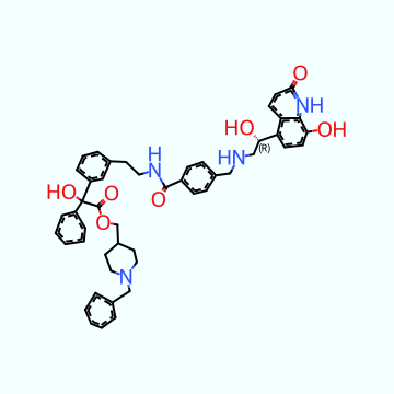 O=C(NCCc1cccc(C(O)(C(=O)OCC2CCN(Cc3ccccc3)CC2)c2ccccc2)c1)c1ccc(CNC[C@H](O)c2ccc(O)c3[nH]c(=O)ccc23)cc1